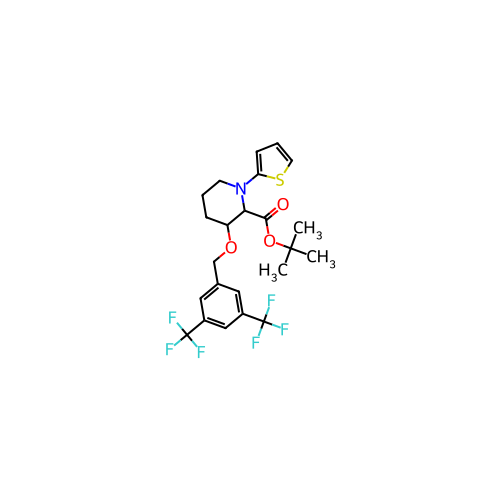 CC(C)(C)OC(=O)C1C(OCc2cc(C(F)(F)F)cc(C(F)(F)F)c2)CCCN1c1cccs1